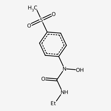 CCNC(=O)N(O)c1ccc(S(C)(=O)=O)cc1